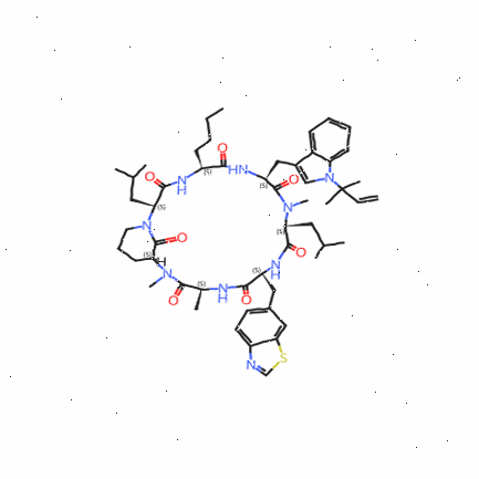 C=CC(C)(C)n1cc(C[C@@H]2NC(=O)[C@H](CCCC)NC(=O)[C@H](CC(C)C)N3CCC[C@@H](C3=O)N(C)C(=O)[C@H](C)NC(=O)[C@H](Cc3ccc4ncsc4c3)NC(=O)[C@H](CC(C)C)N(C)C2=O)c2ccccc21